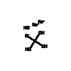 [Na+].[Na+].[O-][Si](O)(O)O.[OH-]